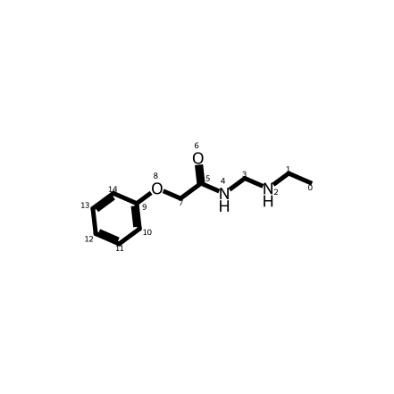 CCNCNC(=O)COc1ccccc1